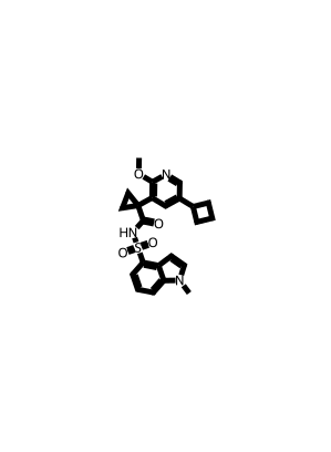 COc1ncc(C2CCC2)cc1C1(C(=O)NS(=O)(=O)c2cccc3c2ccn3C)CC1